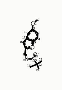 COc1ccc2oc(/C=N\[S+]([O-])C(C)(C)C)cc2c1